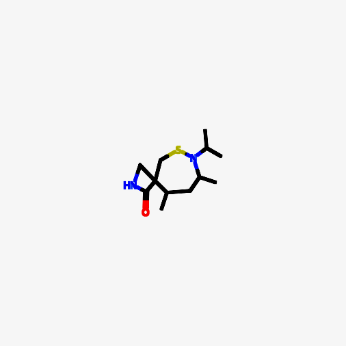 CC(C)N1SCC2(CNC2=O)C(C)CC1C